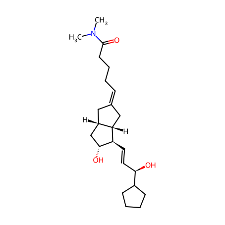 CN(C)C(=O)CCC/C=C1\C[C@H]2C[C@@H](O)[C@H](/C=C/[C@@H](O)C3CCCC3)[C@H]2C1